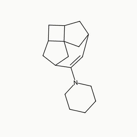 C1=C(N2CCCCC2)C2CC3CC4CC1CC43C2